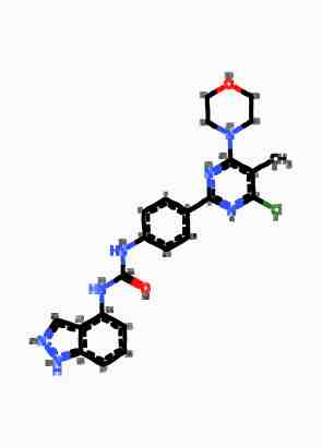 Cc1c(Cl)nc(-c2ccc(NC(=O)Nc3cccc4[nH]ncc34)cc2)nc1N1CCOCC1